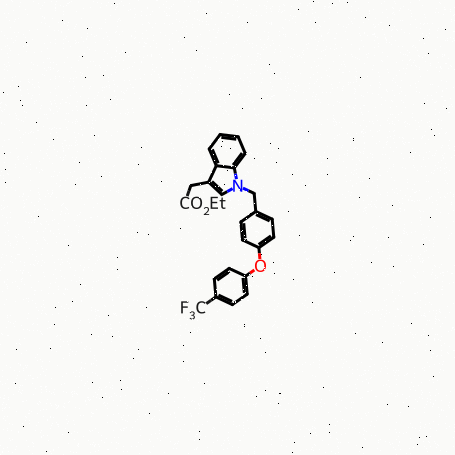 CCOC(=O)Cc1cn(Cc2ccc(Oc3ccc(C(F)(F)F)cc3)cc2)c2ccccc12